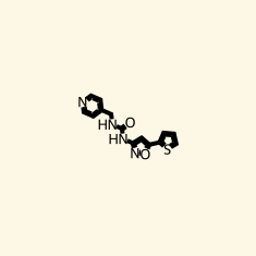 O=C(NCc1ccncc1)Nc1cc(-c2cccs2)on1